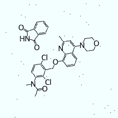 CC(=O)N(C)c1ccc(Cl)c(COc2cccc3c(N4CCOCC4)cc(C)nc23)c1Cl.O=C1NC(=O)c2ccccc21